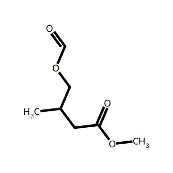 COC(=O)CC(C)COC=O